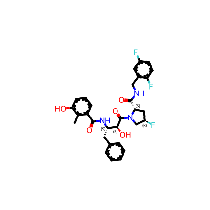 Cc1c(O)cccc1C(=O)N[C@@H](Cc1ccccc1)[C@H](O)C(=O)N1C[C@H](F)C[C@H]1C(=O)NCc1cc(F)ccc1F